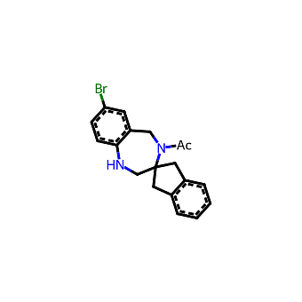 CC(=O)N1Cc2cc(Br)ccc2NCC12Cc1ccccc1C2